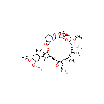 C=CCC1/C=C(\C)CC(C)CC(OC)C2OC(O)(C(=O)C(=O)N3CCCCC3C(=O)OC(C(C)=CC3CCC(OC)C(OC)C3)C(C)/C=C/C1=O)C(C)CC2OC